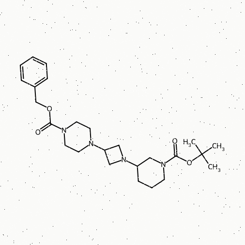 CC(C)(C)OC(=O)N1CCCC(N2CC(N3CCN(C(=O)OCc4ccccc4)CC3)C2)C1